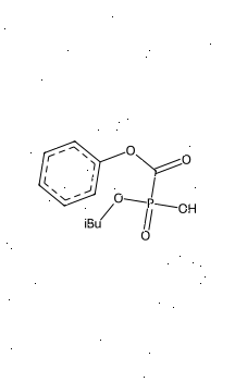 CCC(C)OP(=O)(O)C(=O)Oc1ccccc1